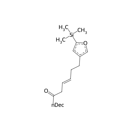 CCCCCCCCCCC(=O)CC=CCCc1coc([Si](C)(C)C)c1